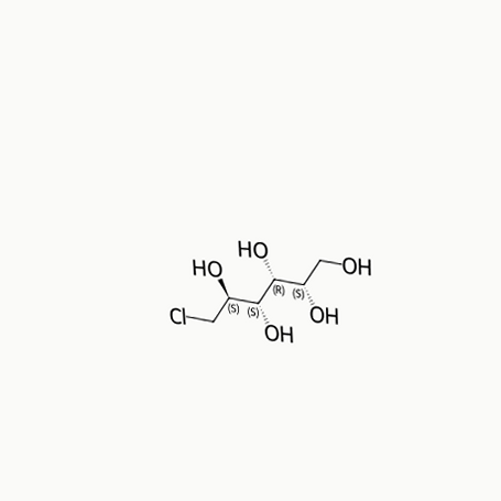 OC[C@H](O)[C@@H](O)[C@H](O)[C@H](O)CCl